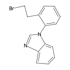 BrCCc1ccccc1-n1cnc2ccccc21